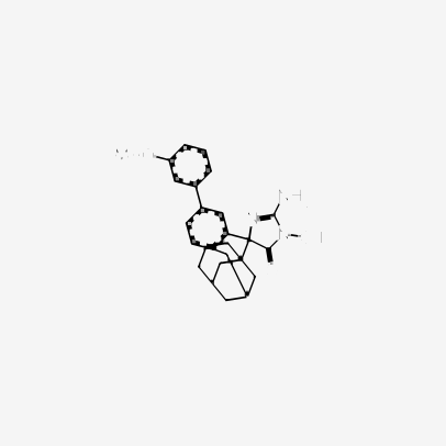 COc1cccc(-c2cccc(C3(C45CC6CC(CC(C6)C4)C5)N=C(N)N(C)C3=O)c2)c1